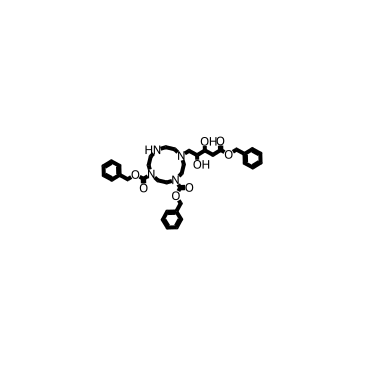 O=C(CC(O)C(O)CN1CCNCCN(C(=O)OCc2ccccc2)CCN(C(=O)OCc2ccccc2)CC1)OCc1ccccc1